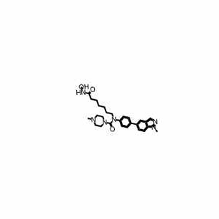 CN1CCN(C(=O)N(CCCCCCC(=O)NO)c2ccc(-c3ccc4c(cnn4C)c3)cc2)CC1